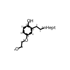 CCCCCCCCCc1cc(OCC[O])ccc1O